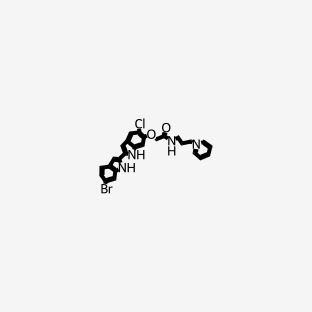 O=C(COc1cc2[nH]c(-c3cc4ccc(Br)cc4[nH]3)cc2cc1Cl)NCCC[n+]1ccccc1